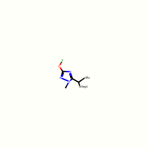 CCCCCCCC(CCCC)c1nc(OF)nn1C